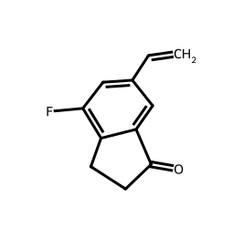 C=Cc1cc(F)c2c(c1)C(=O)CC2